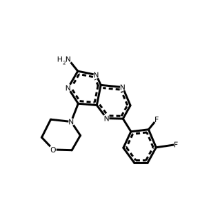 Nc1nc(N2CCOCC2)c2nc(-c3cccc(F)c3F)cnc2n1